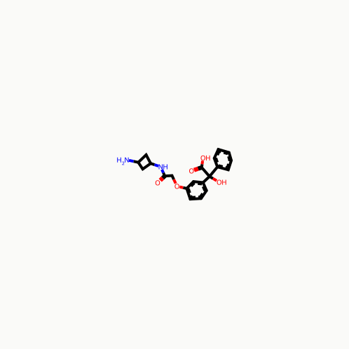 NC1CC(NC(=O)COc2cccc(C(O)(C(=O)O)c3ccccc3)c2)C1